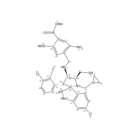 COC(=O)c1cc([N+](=O)[O-])c(CN[C@H]2[C@@H](CO)N(CC3CC3)[C@]3(C(=O)Nc4cc(Cl)ccc43)[C@@H]2c2cccc(Cl)c2F)cc1OC